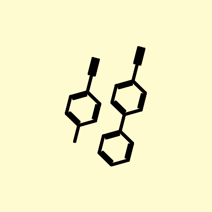 C#Cc1ccc(-c2ccccc2)cc1.C#Cc1ccc(C)cc1